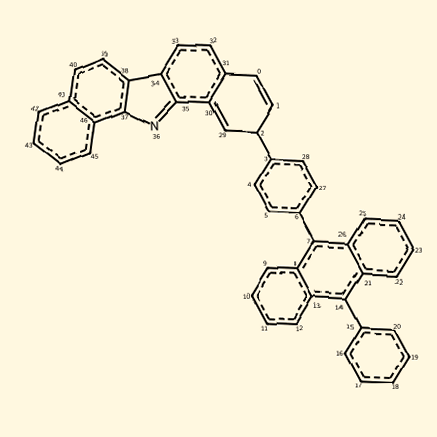 C1=CC(c2ccc(-c3c4ccccc4c(-c4ccccc4)c4ccccc34)cc2)C=c2c1ccc1c2=Nc2c-1ccc1ccccc21